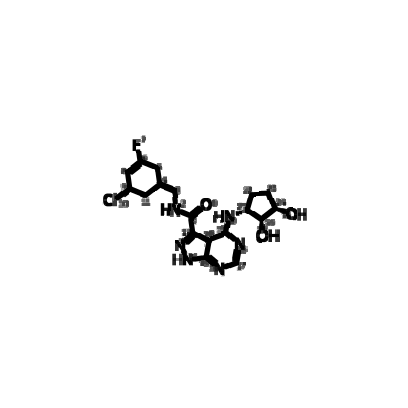 O=C(NCC1CC(F)=CC(Cl)C1)C1=NNC2=NC=NC(N[C@@H]3CC[C@@H](O)[C@H]3O)C21